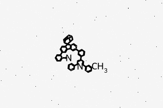 Cc1cccc(-c2cc(-c3cccc(-c4ccc5c(c4)-c4cc(-c6ccccc6C#N)ccc4C54C5CC6CC(C5)CC4C6)c3)cc(-c3ccccc3)n2)c1